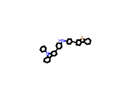 c1ccc(-n2c3ccccc3c3ccc(-c4ccc(Nc5ccc(-c6ccc7c(c6)sc6ccccc67)cc5)cc4)cc32)cc1